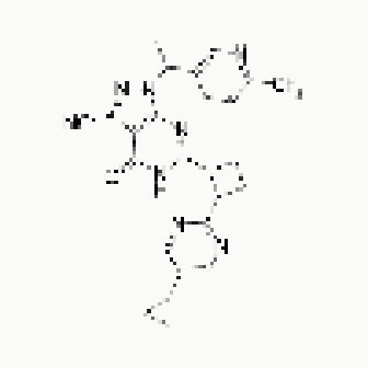 CC(c1ccc(C(F)(F)F)nc1)n1nc(C#N)c2c(=O)[nH]c(C3CCC3c3ncc(C4CC4)cn3)nc21